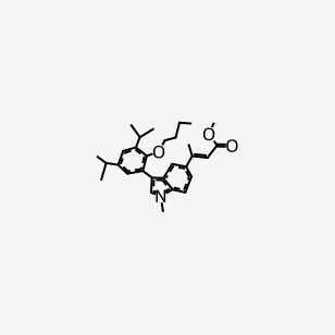 CCCCOc1c(-c2cn(C)c3ccc(C(C)=CC(=O)OC)cc23)cc(C(C)C)cc1C(C)C